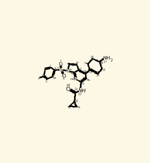 Cc1ccc(S(=O)(=O)n2ccc3c(C4=CCC(N)CC4)cc(NC(=O)C4CC4)nc32)cc1